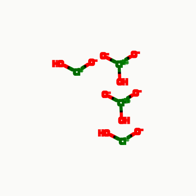 [O-][Cl+2]([O-])O.[O-][Cl+2]([O-])O.[O-][Cl+]O.[O-][Cl+]O